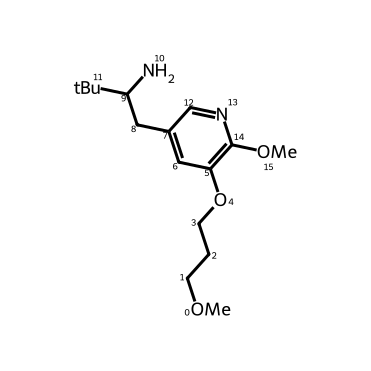 COCCCOc1cc(CC(N)C(C)(C)C)cnc1OC